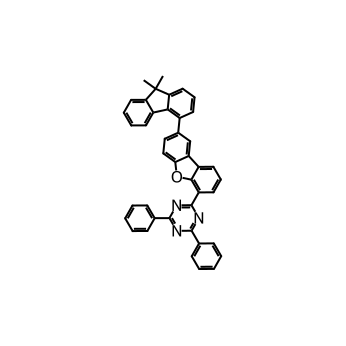 CC1(C)c2ccccc2-c2c(-c3ccc4oc5c(-c6nc(-c7ccccc7)nc(-c7ccccc7)n6)cccc5c4c3)cccc21